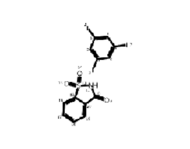 Ic1cc(I)cc(I)c1.O=C1NS(=O)(=O)c2ccccc21